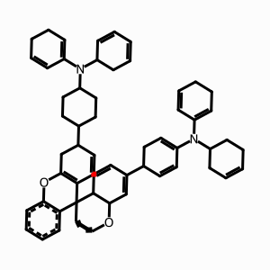 C1=CCC(N(C2=CCCC=C2)C2CCC(C3C=CC4=C(C3)Oc3ccccc3C43C4=CCCC=C4OC4C=C(C5C=CC(N(C6=CCCC=C6)C6CC=CCC6)=CC5)C=CC43)CC2)C=C1